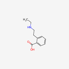 CCNCCc1ccccc1C(=O)O